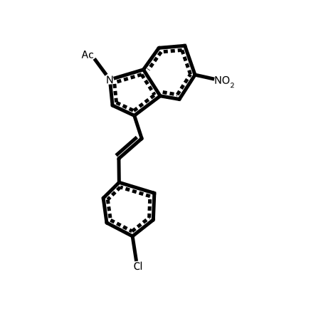 CC(=O)n1cc(/C=C/c2ccc(Cl)cc2)c2cc([N+](=O)[O-])ccc21